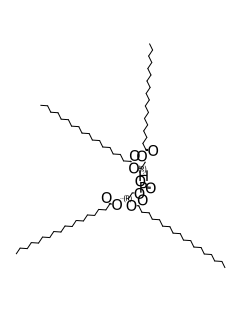 CCCCCCCCCCCCCCCCCC(=O)OC[C@H](CO[PH](=O)OC[C@@H](COC(=O)CCCCCCCCCCCCCCCCC)OC(=O)CCCCCCCCCCCCCCCCC)OC(=O)CCCCCCCCCCCCCCCCC